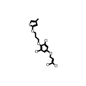 Cc1csc(OCCCOc2c(Cl)cc(OCC=C(Cl)Cl)cc2Cl)c1